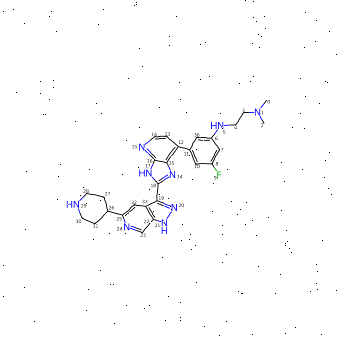 CN(C)CCNc1cc(F)cc(-c2ccnc3[nH]c(-c4n[nH]c5cnc(C6CCNCC6)cc45)nc23)c1